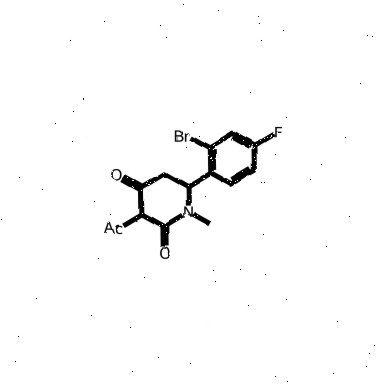 CC(=O)C1C(=O)CC(c2ccc(F)cc2Br)N(C)C1=O